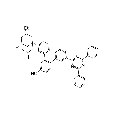 CC[C@@H]1C[C@@H]2C[C@H](C)CC(c3cccc(-c4cc(C#N)ccc4-c4cccc(-c5nc(-c6ccccc6)nc(-c6ccccc6)n5)c4)c3)(C1)C2